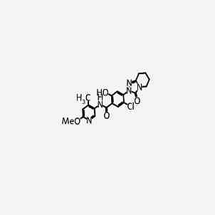 COc1cc(C)c(NC(=O)c2cc(Cl)c(-n3nc4n(c3=O)CCCC4)cc2O)cn1